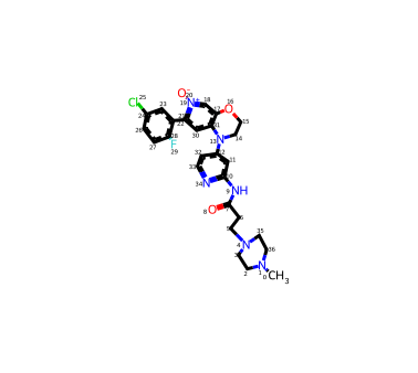 CN1CCN(CCC(=O)Nc2cc(N3CCOc4c[n+]([O-])c(-c5cc(Cl)ccc5F)cc43)ccn2)CC1